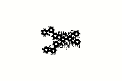 CC1(C)c2ccccc2N2c3ccccc3C(C)(C)c3cc(-c4cc5c6c(c4)C(C)(C)c4cc(-c7cccc8c7sc7ccccc78)ccc4N6c4ccc(-c6cccc7c6sc6ccccc67)cc4C5(C)C)cc1c32